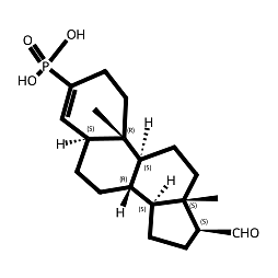 C[C@]12CCC(P(=O)(O)O)=C[C@@H]1CC[C@@H]1[C@@H]2CC[C@]2(C)[C@@H](C=O)CC[C@@H]12